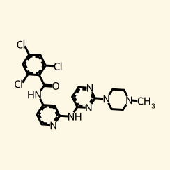 CN1CCN(c2nccc(Nc3cc(NC(=O)c4c(Cl)cc(Cl)cc4Cl)ccn3)n2)CC1